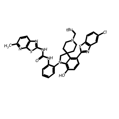 Cc1ccc2nc(NC(=O)Nc3ccccc3N3CC4(CCN(CC(C)(C)C)CC4)c4c(-c5nc6cc(Cl)ccc6s5)ccc(O)c43)sc2n1